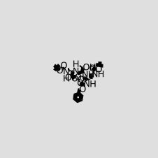 COC(=O)[C@H](CNC(=O)OC(C)(C)C)NC(=O)[C@@H](NC(=O)[C@H](CCNC(=O)OC(C)(C)C)NC(=O)OCc1ccccc1)[C@@H](C)O